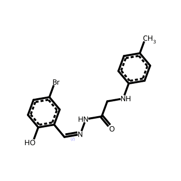 Cc1ccc(NCC(=O)N/N=C\c2cc(Br)ccc2O)cc1